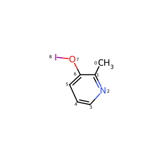 Cc1ncccc1OI